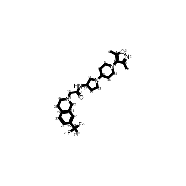 Cc1noc(C)c1N1CCC(N2CCC(NC(=O)CN3CCc4ccc(C(F)(F)F)cc4C3)C2)CC1